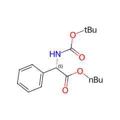 CCCCOC(=O)[C@@H](NC(=O)OC(C)(C)C)c1ccccc1